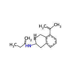 C=C(CC)NC1BCc2c(cccc2C(=C)C)C1